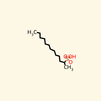 CCCCCCCCCCCC(C)S(=O)(=O)O